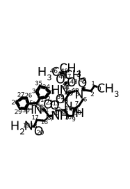 CCCC(=O)N1CC[C@H]2CC[C@@H](C(=O)N[C@@H](CCC(N)=O)C(=O)NC(c3ccccc3)c3ccccc3)N2C(=O)[C@@H](NC(=O)OC(C)(C)C)C1